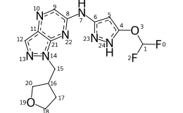 FC(F)Oc1cc(Nc2cnc3cnn(CC4CCOC4)c3n2)n[nH]1